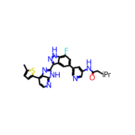 Cc1ccc(-c2ccnc3[nH]c(-c4n[nH]c5c(F)cc(-c6cncc(NC(=O)CC(C)C)c6)cc45)nc23)s1